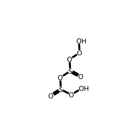 O=S(OO)OS(=O)OOO